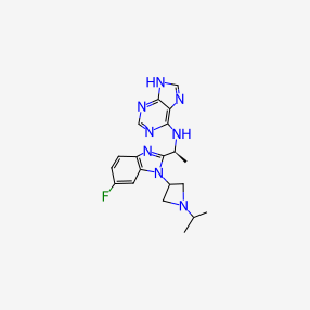 CC(C)N1CC(n2c([C@H](C)Nc3ncnc4[nH]cnc34)nc3ccc(F)cc32)C1